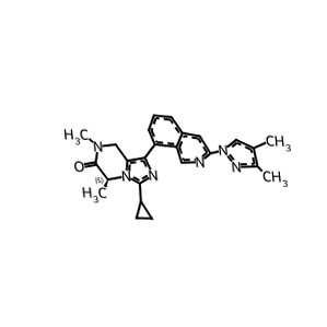 Cc1cn(-c2cc3cccc(-c4nc(C5CC5)n5c4CN(C)C(=O)[C@@H]5C)c3cn2)nc1C